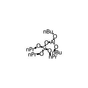 CCCC[O][Al]([O]CCCC)[O][Si](OCCC)(OCCC)OCCC